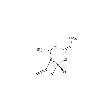 CC(=O)O/C=C1\CC(C(=O)O)N2C(=O)C[C@H]2S1